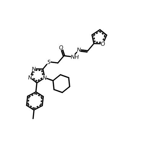 Cc1ccc(-c2nnc(SCC(=O)NN=Cc3ccco3)n2C2CCCCC2)cc1